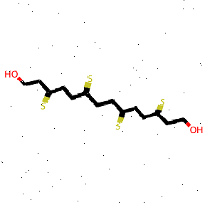 OCCC(=S)CCC(=S)CCC(=S)CCC(=S)CCO